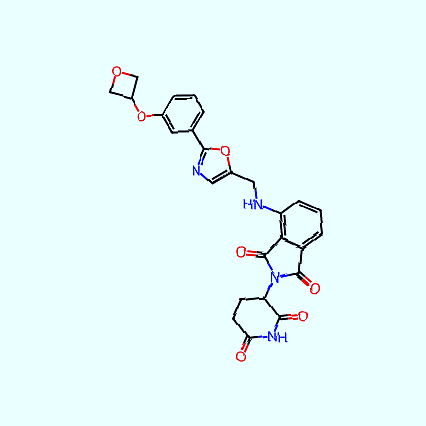 O=C1CCC(N2C(=O)c3cccc(NCc4cnc(-c5cccc(OC6COC6)c5)o4)c3C2=O)C(=O)N1